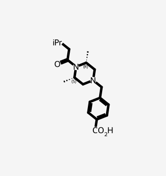 CC(C)CC(=O)N1[C@H](C)CN(Cc2ccc(C(=O)O)cc2)C[C@@H]1C